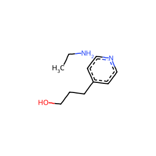 CCN.OCCCc1ccncc1